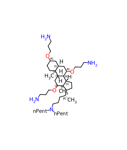 CCCCCN(CCCCC)CCC[C@@H](C)C1CC[C@H]2[C@@H]3[C@H](OCCCN)C[C@@H]4C[C@H](OCCCN)CC[C@]4(C)[C@H]3C[C@H](OCCCN)[C@]12C